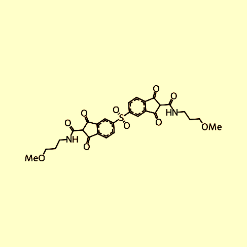 COCCCNC(=O)C1C(=O)c2ccc(S(=O)(=O)c3ccc4c(c3)C(=O)C(C(=O)NCCCOC)C4=O)cc2C1=O